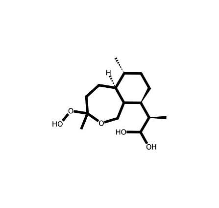 C[C@@H]1CC[C@@H]([C@@H](C)C(O)O)C2COC(C)(OO)CC[C@H]21